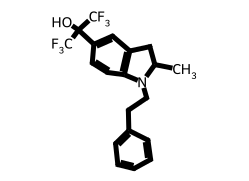 CC1Cc2cc(C(O)(C(F)(F)F)C(F)(F)F)ccc2N1CCc1ccccc1